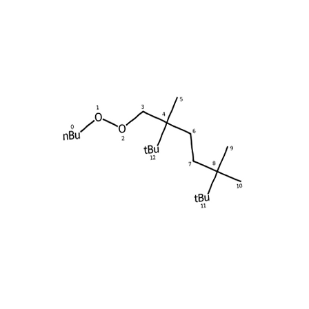 CCCCOOCC(C)(CCC(C)(C)C(C)(C)C)C(C)(C)C